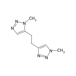 Cn1cc(CCc2cnnn2C)nn1